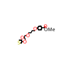 COC(=O)c1ccc(OCCCCOCC2COc3cscc3O2)cc1